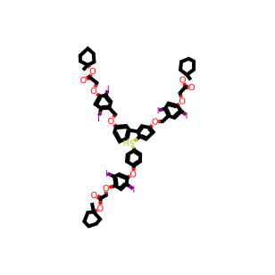 CC1(OC(=O)COc2cc(I)c(COc3ccc4c(c3)-c3cc(OCc5cc(I)c(OCC(=O)OC6(C)CCCCC6)cc5I)ccc3[SH]4c3ccc(Oc4cc(I)c(OCC(=O)OC5(C)CCCCC5)cc4I)cc3)cc2I)CCCCC1